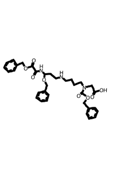 O=C(O)CN(CCCCNCCC(NC(=O)C(=O)OCc1ccccc1)OCc1ccccc1)C(=O)OCc1ccccc1